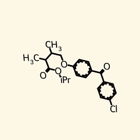 CC(C)OC(=O)C(C)C(C)COc1ccc(C(=O)c2ccc(Cl)cc2)cc1